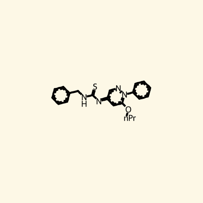 CCCOc1cc(=NC(=S)NCc2ccccc2)cnn1-c1ccccc1